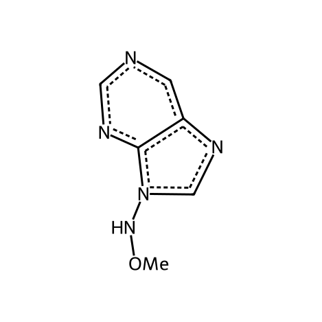 CONn1cnc2cncnc21